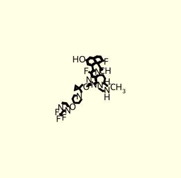 C#Cc1c(F)ccc2cc(O)cc(-c3nc4c5c(nc(OCC6(CN7CCC(Oc8ccnc(C(F)(F)F)n8)CC7)CC6)nc5c3F)N3CCN[C@@H](CC)[C@H]3CC4)c12